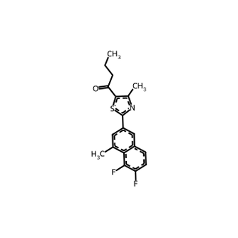 CCCC(=O)c1sc(-c2cc(C)c3c(F)c(F)ccc3c2)nc1C